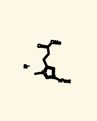 CCCCCn1cc(CCC(=O)OC)[n+](C)c1.[Br-]